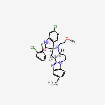 CC(C)OCCN1[C@H]2CCn3c(nc4cc(C(=O)O)ccc43)[C@H]2[C@H](c2cccc(Cl)c2F)[C@]12C(=O)Nc1cc(Cl)ccc12